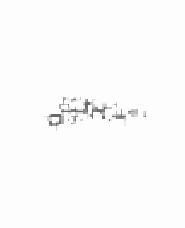 CON=C(c1ccccc1)C1CC(c2csc(C3CCN(C(=O)OC(C)(C)C)CC3)n2)=NO1